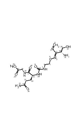 C=N/C(=N\OCCNC(=O)N[C@@H](CCC(N)=O)C(=O)NCC(=O)O)[C@@H](N)CO